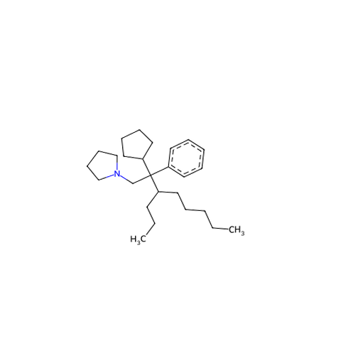 CCCCCC(CCC)C(CN1CCCC1)(c1ccccc1)C1CCCC1